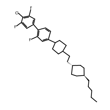 CCCCC[C@H]1CC[C@H](CCC2CCC(c3ccc(-c4cc(F)c(Cl)c(F)c4)c(F)c3)CC2)CC1